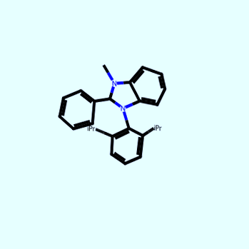 CC(C)c1cccc(C(C)C)c1N1c2ccccc2N(C)C1c1ccccc1